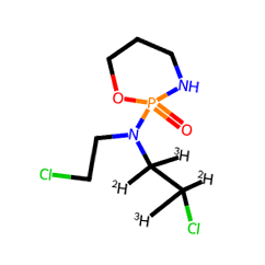 [2H]C([3H])(Cl)C([2H])([3H])N(CCCl)P1(=O)NCCCO1